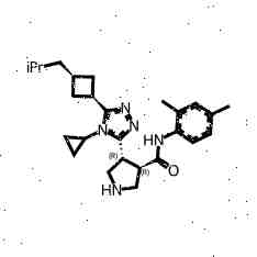 Cc1ccc(NC(=O)[C@H]2CNC[C@@H]2c2nnc([C@H]3C[C@@H](CC(C)C)C3)n2C2CC2)c(C)c1